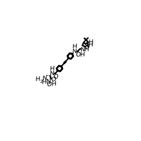 C[C@@H]1[C@H](NCC(=O)Nc2ccc(C#Cc3ccc(C(=O)N[C@@H](CN)C(=O)NO)cc3)cc2)CC2C[C@@H]1C2(C)C